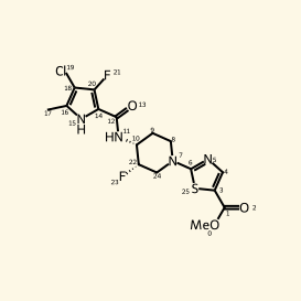 COC(=O)c1cnc(N2CC[C@@H](NC(=O)c3[nH]c(C)c(Cl)c3F)[C@@H](F)C2)s1